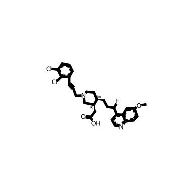 COc1ccc2nccc(C(F)CC[C@@H]3CCN(CC#Cc4cccc(Cl)c4Cl)C[C@@H]3CC(=O)O)c2c1